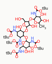 CC1OC(OC2C(CO)OC(OC3C(O)C(NC(=O)OC(C)(C)C)CC(NC(=O)OC(C)(C)C)C3OC3OC(CNC(=O)OC(C)(C)C)C(O)C(O)C3NC(=O)OC(C)(C)C)C2O)C(NC(=O)OC(C)(C)C)C(O)C1O